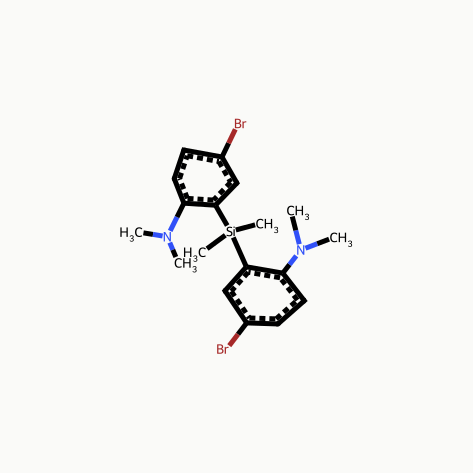 CN(C)c1ccc(Br)cc1[Si](C)(C)c1cc(Br)ccc1N(C)C